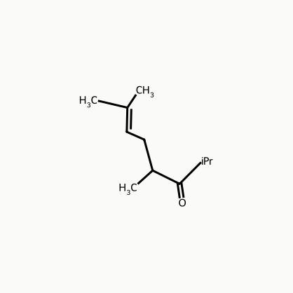 CC(C)=CCC(C)C(=O)C(C)C